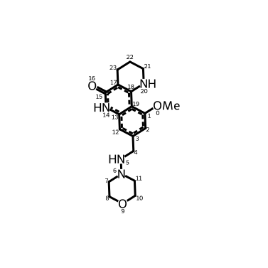 COc1cc(CNN2CCOCC2)cc2[nH]c(=O)c3c(c12)NCCC3